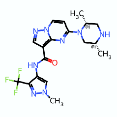 C[C@@H]1CN(c2ccn3ncc(C(=O)Nc4cn(C)nc4C(F)(F)F)c3n2)[C@H](C)CN1